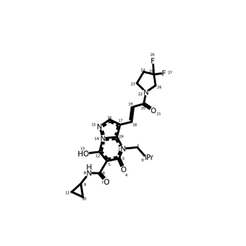 CC(C)Cn1c(=O)c(C(=O)NC2CC2)c(O)n2ncc(/C=C/C(=O)N3CCC(F)(F)C3)c12